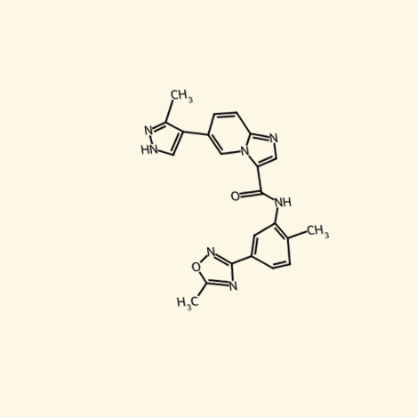 Cc1nc(-c2ccc(C)c(NC(=O)c3cnc4ccc(-c5c[nH]nc5C)cn34)c2)no1